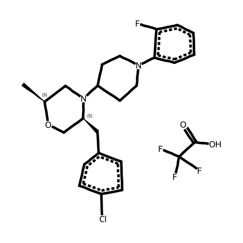 C[C@H]1CN(C2CCN(c3ccccc3F)CC2)[C@@H](Cc2ccc(Cl)cc2)CO1.O=C(O)C(F)(F)F